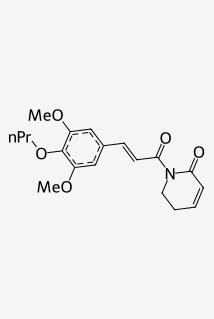 CCCOc1c(OC)cc(/C=C/C(=O)N2CCC=CC2=O)cc1OC